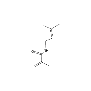 C=C(C)C(=O)NCC=C(C)C